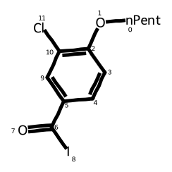 CCCCCOc1ccc(C(=O)I)cc1Cl